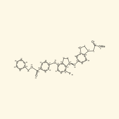 COC(=O)CC1COc2cc(O[C@@H]3CCc4c(Oc5ccc(C(=O)OCc6ccccc6)cc5)ccc(F)c43)ccc21